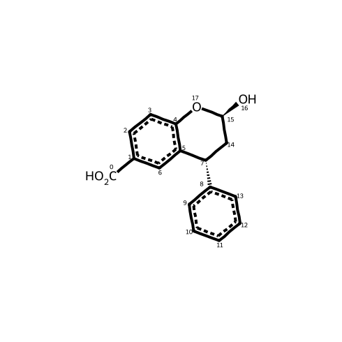 O=C(O)c1ccc2c(c1)[C@@H](c1ccccc1)C[C@H](O)O2